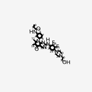 C=CC(=O)Nc1cccc(-n2c(C)c(C)c(=O)c3cnc(Nc4ccc(N5CCN(CCO)CC5)c(F)c4F)nc32)c1